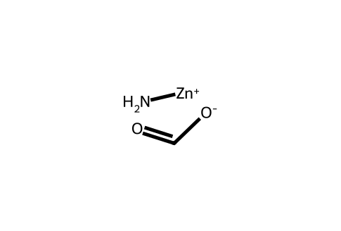 O=C[O-].[NH2][Zn+]